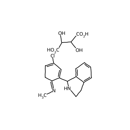 CN=C1CC=C(Cl)C=C1C1NCCc2ccccc21.O=C(O)C(O)C(O)C(=O)O